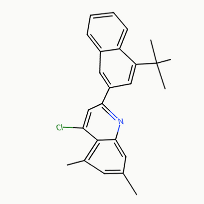 Cc1cc(C)c2c(Cl)cc(-c3cc(C(C)(C)C)c4ccccc4c3)nc2c1